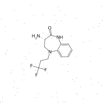 N[C@H]1CN(CCC(F)(F)F)c2ccccc2NC1=O